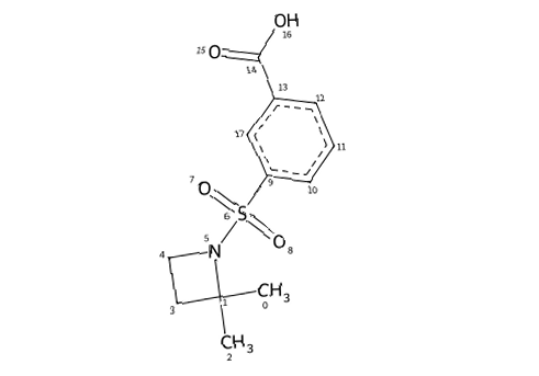 CC1(C)CCN1S(=O)(=O)c1cccc(C(=O)O)c1